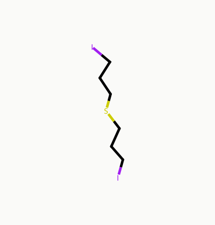 ICCCSCCCI